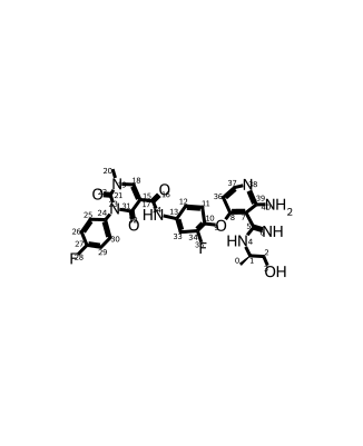 C[C@H](CO)NC(=N)c1c(Oc2ccc(NC(=O)c3cn(C)c(=O)n(-c4ccc(F)cc4)c3=O)cc2F)ccnc1N